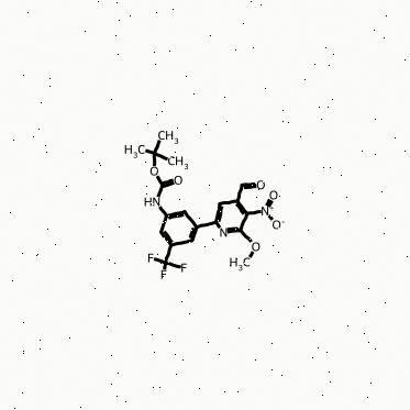 COc1nc(-c2cc(NC(=O)OC(C)(C)C)cc(C(F)(F)F)c2)cc(C=O)c1[N+](=O)[O-]